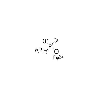 O=P([O-])([O-])[O-].[Al+3].[Fe+2]